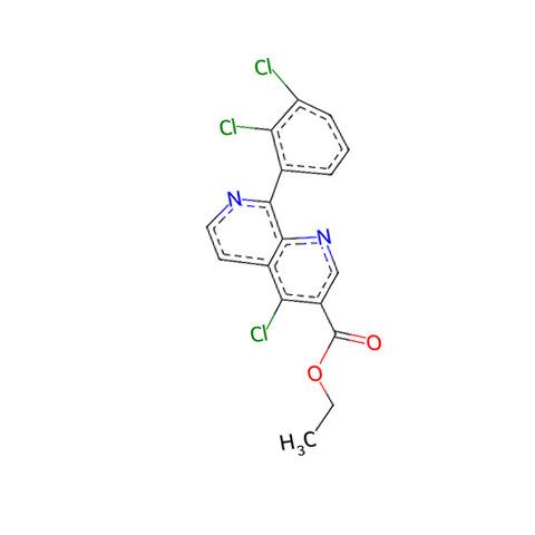 CCOC(=O)c1cnc2c(-c3cccc(Cl)c3Cl)nccc2c1Cl